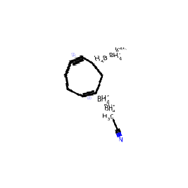 C1=C\CC/C=C\CC/1.CC#N.[BH4-].[BH4-].[BH4-].[BH4-].[Ir+4]